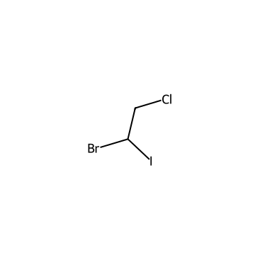 ClCC(Br)I